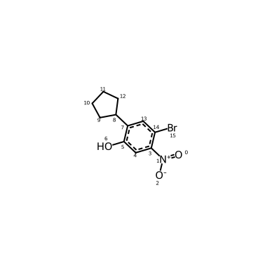 O=[N+]([O-])c1cc(O)c(C2CCCC2)cc1Br